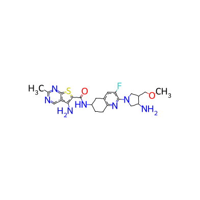 COCC1CN(c2nc3c(cc2F)CC(NC(=O)c2sc4nc(C)ncc4c2N)CC3)CC1N